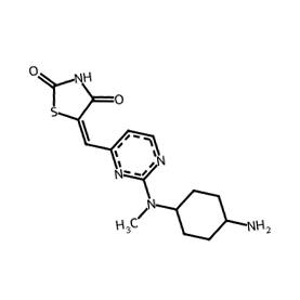 CN(c1nccc(/C=C2/SC(=O)NC2=O)n1)C1CCC(N)CC1